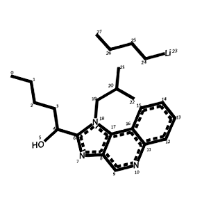 CCCCC(O)c1nc2cnc3ccccc3c2n1CC(C)C.[Li][CH2]CCC